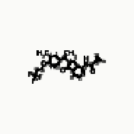 Cc1cc(C(C)N2Cc3c(ccnc3NC(=O)C3CC3)C2=O)cnc1OCCC(F)(F)F